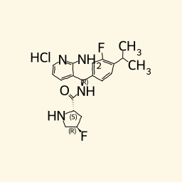 CC(C)c1ccc([C@@H](NC(=O)[C@@H]2C[C@@H](F)CN2)c2cccnc2N)cc1F.Cl